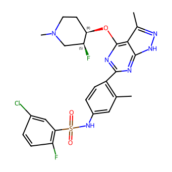 Cc1cc(NS(=O)(=O)c2cc(Cl)ccc2F)ccc1-c1nc(O[C@@H]2CCN(C)C[C@@H]2F)c2c(C)n[nH]c2n1